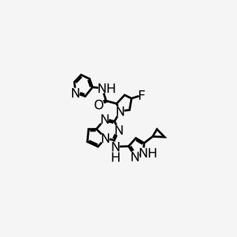 O=C(Nc1cccnc1)C1CC(F)CN1c1nc(Nc2cc(C3CC3)[nH]n2)n2cccc2n1